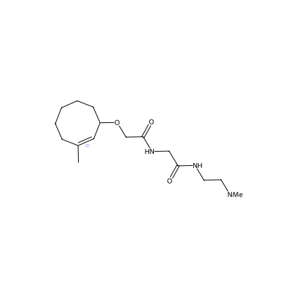 CNCCNC(=O)CNC(=O)COC1/C=C(/C)CCCCC1